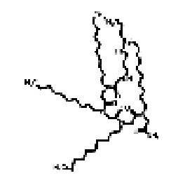 CCCCCCCCCCN(CC(N)=O)C(=O)CN(CCCCCCCCCC)C(=O)CN(CCCCCCCCCC)C(=O)CN(CCCCCCCCCC)C(=O)CNCCCNCCCN